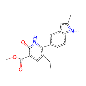 CCc1cc(C(=O)OC)c(=O)[nH]c1-c1ccc2c(c1)cc(C)n2C